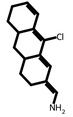 N/C=C1/C=C2C(Cl)=C3C=CCCC3CC2CC1